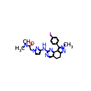 CN(C)C(=O)Cn1ccc(Nc2ncc3c(n2)-c2c(nn(C)c2-c2ccc(I)cc2)CC3)n1